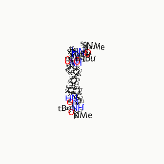 CN[C@@H](C)C(=O)N[C@H](C(=O)N1CCC[C@H]1N[C@@H]1CCCc2c(-c3ccc(-c4cccc5c4CCC[C@H]5NC(=O)[C@@H]4CCCN4C(=O)[C@@H](NC(=O)[C@H](C)NC)C(C)(C)C)cc3)cccc21)C(C)(C)C